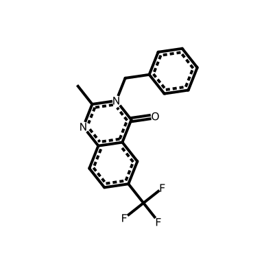 Cc1nc2ccc(C(F)(F)F)cc2c(=O)n1Cc1ccccc1